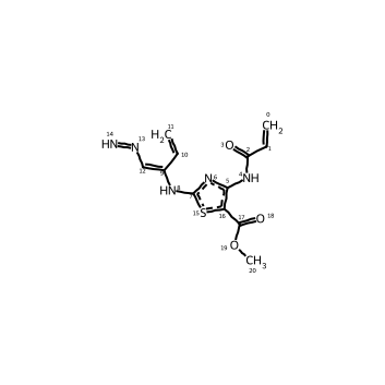 C=CC(=O)Nc1nc(N/C(C=C)=C/N=N)sc1C(=O)OC